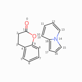 O=C1CCc2ccccc2O1.c1ccn2cccc2c1